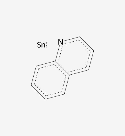 [Sn].c1ccc2ncccc2c1